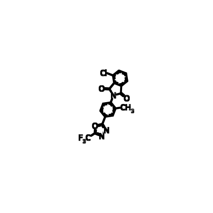 Cc1cc(-c2nnc(C(F)(F)F)o2)ccc1N1C(=O)c2cccc(Cl)c2C1=O